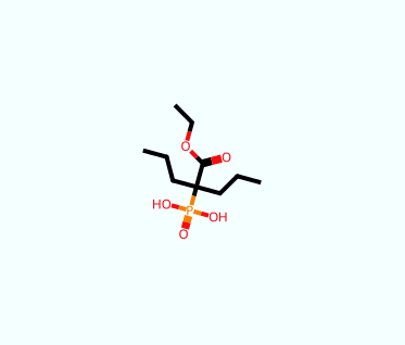 CCCC(CCC)(C(=O)OCC)P(=O)(O)O